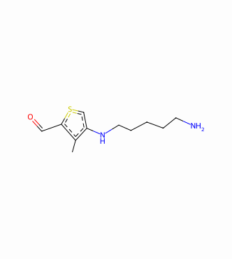 Cc1c(NCCCCCN)csc1C=O